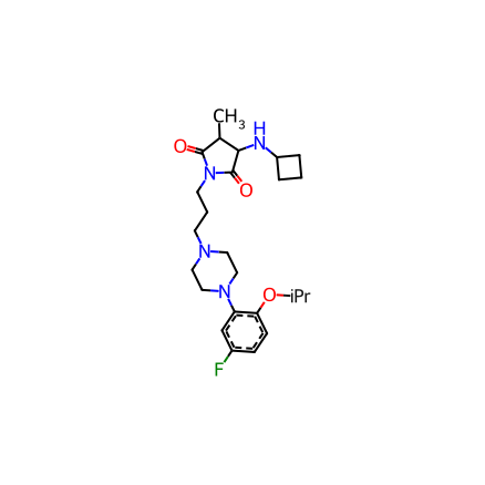 CC(C)Oc1ccc(F)cc1N1CCN(CCCN2C(=O)C(C)C(NC3CCC3)C2=O)CC1